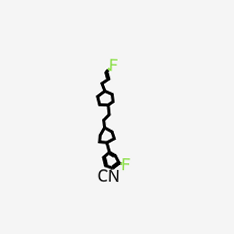 N#Cc1ccc(C2CCC(CCC3CCC(CC=CF)CC3)CC2)cc1F